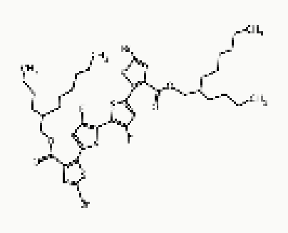 CCCCCCC(CCCC)COC(=O)c1cc(Br)sc1-c1cc(F)c(-c2sc(-c3sc(Br)cc3C(=O)OCC(CCCC)CCCCCC)cc2F)s1